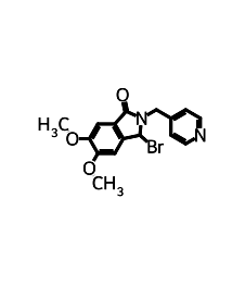 COc1cc2c(cc1OC)C(Br)N(Cc1ccncc1)C2=O